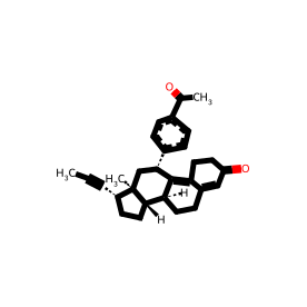 CC#C[C@H]1CC[C@H]2[C@@H]3CCC4=CC(=O)CCC4=C3[C@@H](c3ccc(C(C)=O)cc3)C[C@]12C